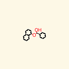 OC(Oc1cccc2ccccc12)c1ccccc1